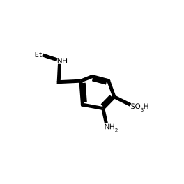 CCNCc1ccc(S(=O)(=O)O)c(N)c1